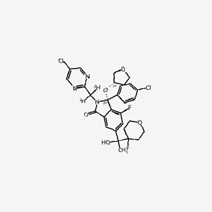 [2H]C([2H])(c1ncc(Cl)cn1)N1C(=O)c2cc(C(C)(O)C3(F)CCOCC3)cc(F)c2[C@]1(O[C@H]1CCOC1)c1ccc(Cl)cc1